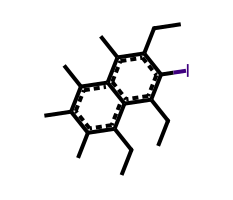 CCc1c(I)c(CC)c2c(CC)c(C)c(C)c(C)c2c1C